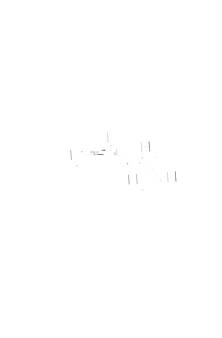 [SiH2]=[SiH][SiH2][SiH2][SiH3]